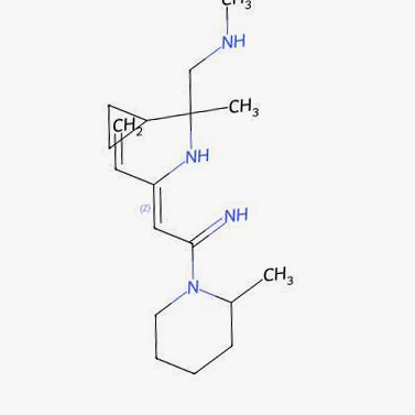 C=C/C(=C/C(=N)N1CCCCC1C)NC(C)(CNC)C1CC1